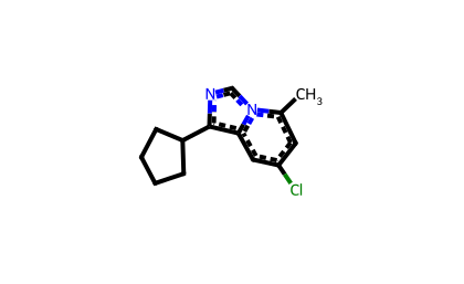 Cc1cc(Cl)cc2c(C3CCCC3)ncn12